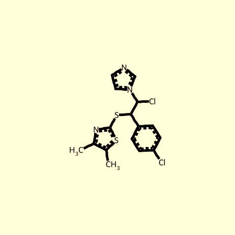 Cc1nc(SC(c2ccc(Cl)cc2)C(Cl)n2ccnc2)sc1C